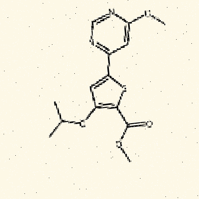 COC(=O)c1sc(-c2cc(OC)ncn2)cc1OC(C)C